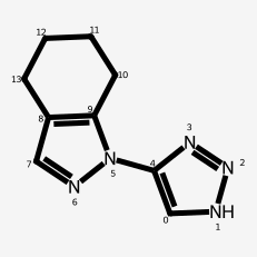 c1[nH]nnc1-n1ncc2c1CCCC2